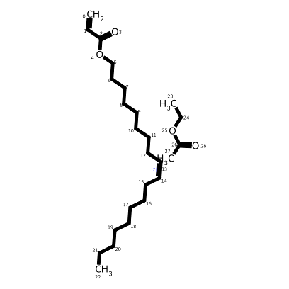 C=CC(=O)OCCCCCCCC/C=C\CCCCCCCC.CCOC(C)=O